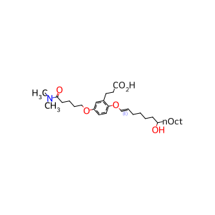 CCCCCCCCC(O)CCCC/C=C/Oc1ccc(OCCCCC(=O)N(C)C)cc1CCC(=O)O